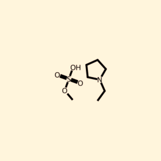 CCN1CCCC1.COS(=O)(=O)O